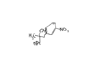 CCCC(C)(C)Cc1cccc([N+](=O)[O-])c1